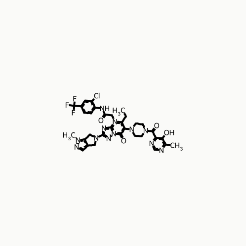 CCc1c(N2CCN(C(=O)c3ncnc(C)c3O)CC2)c(=O)n2nc(N3Cc4cnn(C)c4C3)nc2n1CC(=O)Nc1ccc(C(F)(F)F)cc1Cl